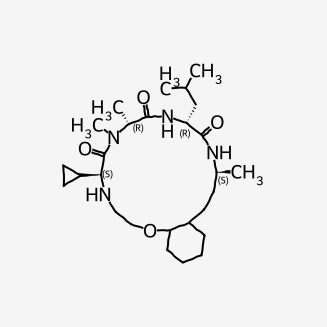 CC(C)C[C@H]1NC(=O)[C@@H](C)N(C)C(=O)[C@H](C2CC2)NCCOC2CCCCC2CC[C@H](C)NC1=O